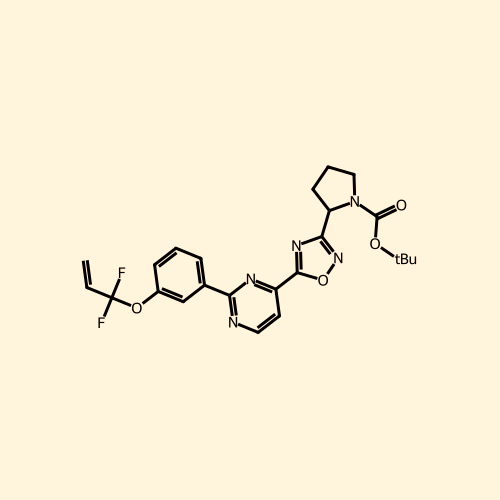 C=CC(F)(F)Oc1cccc(-c2nccc(-c3nc(C4CCCN4C(=O)OC(C)(C)C)no3)n2)c1